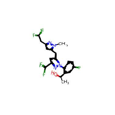 C[C@@H](O)c1cc(F)ccc1-n1nc(C(F)F)cc1Cc1cc(CC(F)F)nn1C